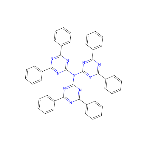 c1ccc(-c2nc(-c3ccccc3)nc(N(c3nc(-c4ccccc4)nc(-c4ccccc4)n3)c3nc(-c4ccccc4)nc(-c4ccccc4)n3)n2)cc1